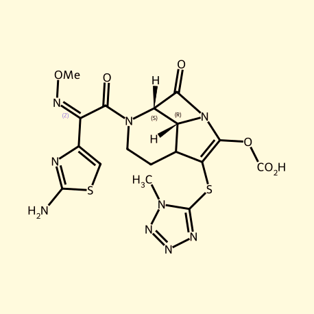 CO/N=C(\C(=O)N1CCC2C(Sc3nnnn3C)=C(OC(=O)O)N3C(=O)[C@@H]1[C@@H]23)c1csc(N)n1